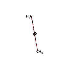 CCCCCCCCCCCCCCCCCCCCCCCCCCCCCCCCCCCC(=O)OCCCCCCCCCCCCCCCCCCCCCCCCCCCCCCCCCC